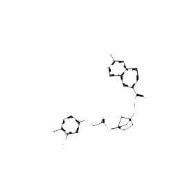 O=C(COc1ccc(Cl)c(F)c1)NC12CCC(NNC(=O)c3ccc4cc(Cl)ccc4c3)(C1)C2